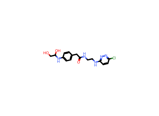 O=C(Cc1ccc(NC(O)CO)cc1)NCCNc1ccc(Cl)nn1